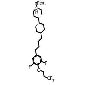 CCCCC[Si@H]1CC[C@H]([C@H]2CC[C@H](CCCCc3cc(F)c(OCCC(F)(F)F)c(F)c3)CC2)CC1